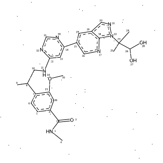 CNC(=O)c1ccc(C(C)CNc2cc(-c3cnc4c(cnn4C(C)(C)C(O)O)c3)ncn2)c(OC)c1